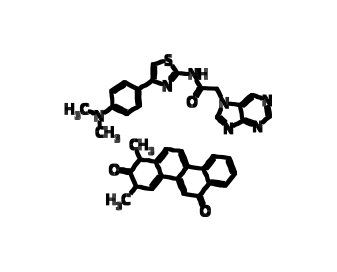 CC1C=c2c(ccc3c2=CC(=O)c2ccccc2-3)C(C)C1=O.CN(C)c1ccc(-c2csc(NC(=O)Cn3cnc4ncncc43)n2)cc1